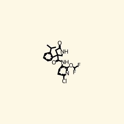 CC(C)c1ccccc1C1(C(=O)Nc2ccc(Cl)nc2OC(F)F)CNC(=O)C1